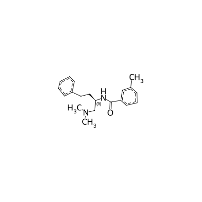 Cc1cccc(C(=O)N[C@H](CCc2ccccc2)CN(C)C)c1